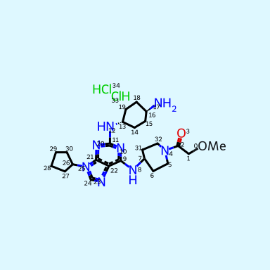 COCC(=O)N1CCC(Nc2nc(N[C@H]3CC[C@H](N)CC3)nc3c2ncn3C2CCCC2)CC1.Cl.Cl